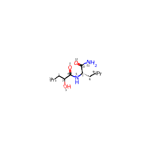 CC(C)CC(O)C(=O)N[C@@H](CC(C)C)C(N)=O